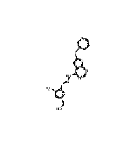 Cc1cc(CO)sc1C=NNc1ncnc2sc(Cc3cccnc3)cc12